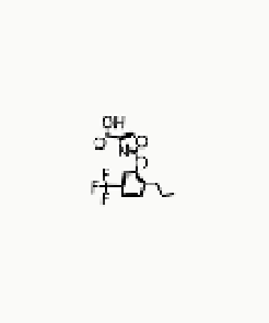 CCCc1ccc(C(F)(F)F)cc1Oc1nc(C(=O)O)co1